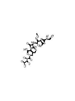 CON=C(C(=O)NC1C(=O)N2C(C(=O)O)=C(COC(=O)N(Cl)C(=O)C(Cl)Cl)CS[C@@H]12)c1nc(NC=O)sc1Br